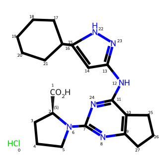 Cl.O=C(O)[C@@H]1CCCN1c1nc2c(c(Nc3cc(C4CCCCC4)[nH]n3)n1)CCC2